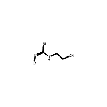 CCN=C(N)NCCC#N